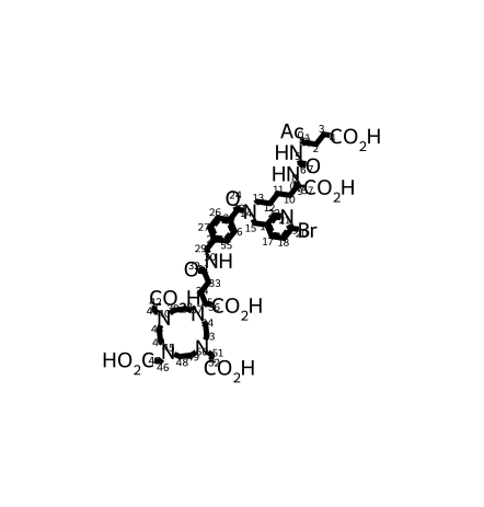 CC(=O)[C@@H](CCC(=O)O)NC(=O)N[C@H](CCCCN(Cc1ccc(Br)nc1)C(=O)c1ccc(CNC(=O)CCC(C(=O)O)N2CCN(CC(=O)O)CCN(CC(=O)O)CCN(CC(=O)O)CC2)cc1)C(=O)O